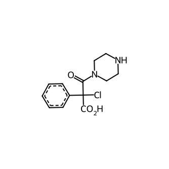 O=C(O)C(Cl)(C(=O)N1CCNCC1)c1ccccc1